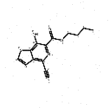 CCCCOC(=O)c1nc(C#N)c2ccsc2c1O